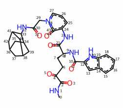 CNC(=O)C(=O)CC[C@H](NC(=O)c1cc2ccccc2[nH]1)C(=O)Nc1cccn(CC(=O)NC2C3CC4CC(C3)CC2C4)c1=O